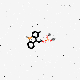 CCOP(OCC)OCCC(c1ccccc1)c1cc(C)ccc1P(CC)CC